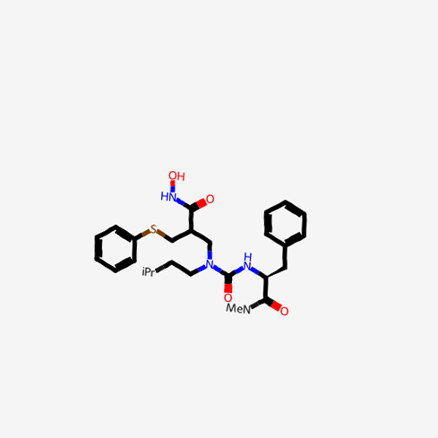 CNC(=O)[C@H](Cc1ccccc1)NC(=O)N(CCC(C)C)CC(CSc1ccccc1)C(=O)NO